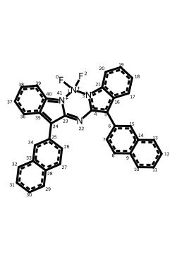 F[N+]1(F)n2c(c(-c3ccc4ccccc4c3)c3ccccc32)N=C2C(c3ccc4ccccc4c3)=c3ccccc3=[N+]21